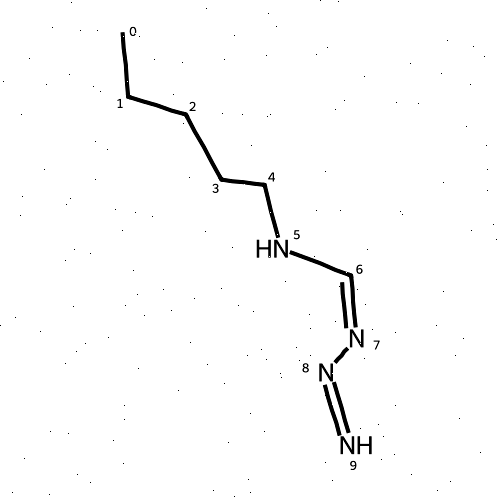 CCCCCN/C=N\N=N